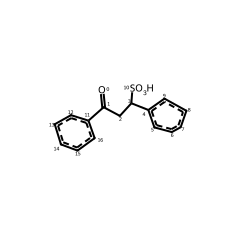 O=C(CC(c1ccccc1)S(=O)(=O)O)c1ccccc1